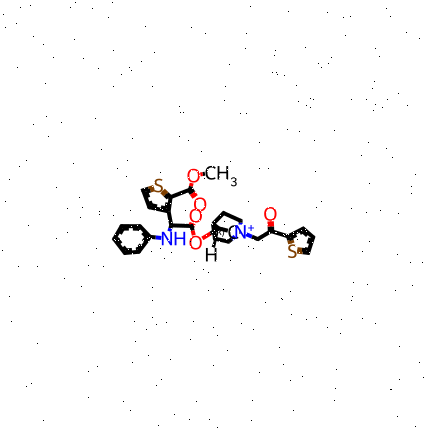 COC(=O)c1sccc1C(Nc1ccccc1)C(=O)O[C@H]1C[N+]2(CC(=O)c3cccs3)CCC1CC2